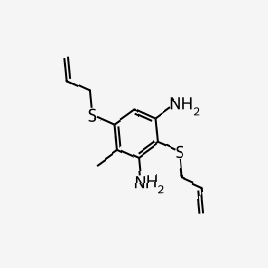 C=CCSc1cc(N)c(SCC=C)c(N)c1C